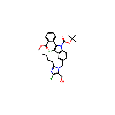 CCCCc1nc(Cl)c(CO)n1Cc1ccc2c(c1)c(Br)c(-c1ccccc1C(=O)OC)n2C(=O)OC(C)(C)C